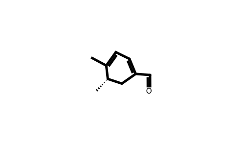 CC1=CC=C(C=O)C[C@@H]1C